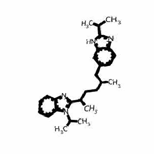 CC(CCC(C)c1nc2ccccc2n1C(C)C)Cc1ccc2nc(C(C)C)[nH]c2c1